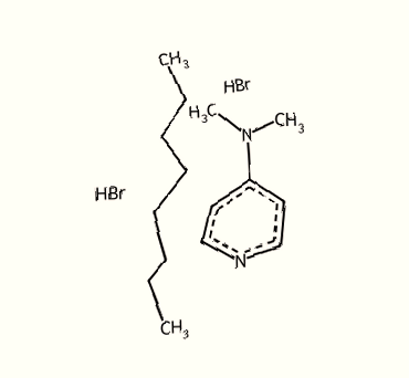 Br.Br.CCCCCCCC.CN(C)c1ccncc1